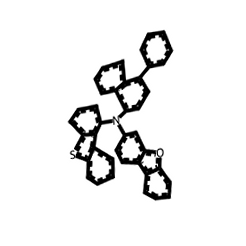 c1ccc(-c2ccc(N(c3ccc4c(c3)oc3ccccc34)c3cccc4sc5ccccc5c34)c3ccccc23)cc1